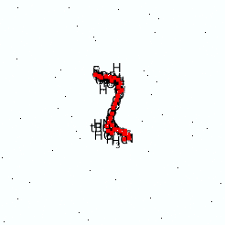 Cc1ncsc1-c1ccc(CNC(=O)[C@@H]2C[C@@H](O)CN2C(=O)[C@@H](NC(=O)COCCOCCOCCOCCOc2ccc(-c3cnc4[nH]cc(C(=O)c5c(F)ccc(NS(=O)(=O)N6CC[C@@H](F)C6)c5F)c4c3)cc2)C(C)(C)C)cc1